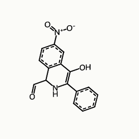 O=CC1NC(c2ccccc2)=C(O)c2cc([N+](=O)[O-])ccc21